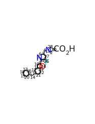 O=C(O)C1CN(Cc2cnc(-c3cc4cc(Cc5ccccc5)ccc4o3)c(F)c2)C1